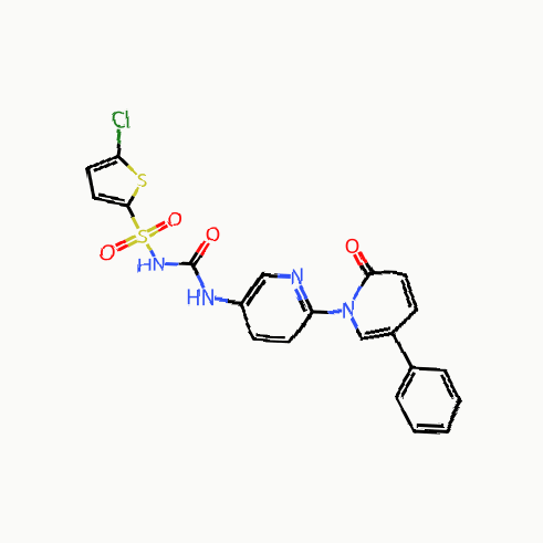 O=C(Nc1ccc(-n2cc(-c3ccccc3)ccc2=O)nc1)NS(=O)(=O)c1ccc(Cl)s1